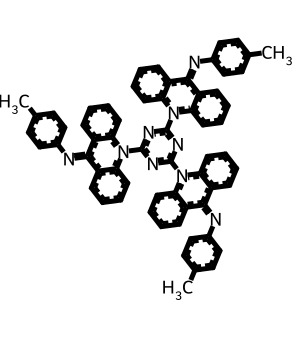 Cc1ccc(N=c2c3ccccc3n(-c3nc(-n4c5ccccc5c(=Nc5ccc(C)cc5)c5ccccc54)nc(-n4c5ccccc5c(=Nc5ccc(C)cc5)c5ccccc54)n3)c3ccccc23)cc1